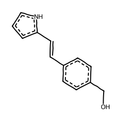 OCc1ccc(C=Cc2ccc[nH]2)cc1